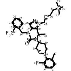 Cc1cccc(F)c1N1CCC(N2C(=O)N(Cc3ccccc3C(F)(F)F)c3cnn(COCC[Si](C)(C)C)c3C2C)CC1